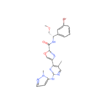 COC[C@@H](NC(=O)c1nc(-c2nc(Nc3ccnn3C)ncc2C)co1)c1cccc(Br)c1